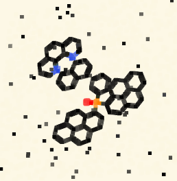 O=P(c1ccccc1)(c1ccc2ccc3cccc4ccc1c2c34)c1ccc2ccc3cccc4ccc1c2c34.c1ccc2ccccc2c1.c1cnc2c(c1)ccc1cccnc12